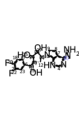 N/N=c1/nc[nH]c2c1ccn2[C@@H]1C[C@H]([C@H](O)c2ccc(F)c(F)c2)[C@@H](O)[C@H]1O